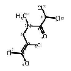 CN(CC(Cl)=C(Cl)Cl)C(=O)C(Cl)Cl